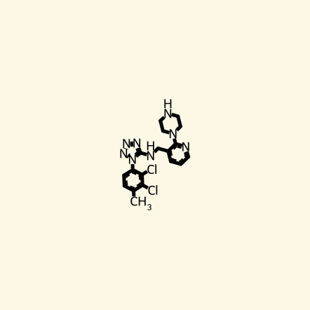 Cc1ccc(-n2nnnc2NCc2cccnc2N2CCNCC2)c(Cl)c1Cl